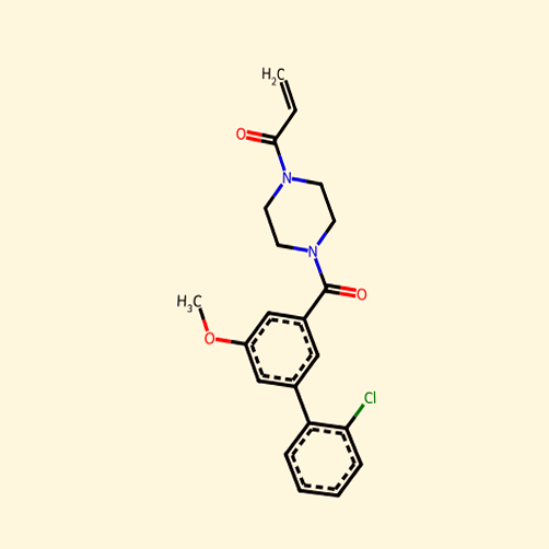 C=CC(=O)N1CCN(C(=O)c2cc(OC)cc(-c3ccccc3Cl)c2)CC1